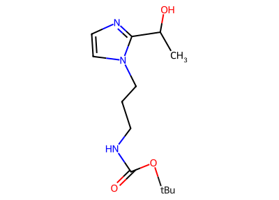 CC(O)c1nccn1CCCNC(=O)OC(C)(C)C